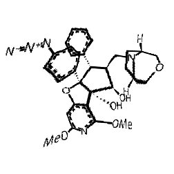 COc1cc2c(c(OC)n1)[C@]1(O)[C@H](O)[C@H](CN3[C@@H]4CC[C@H]3COC4)[C@@H](c3ccccc3)[C@]1(c1ccc(N=[N+]=[N-])cc1)O2